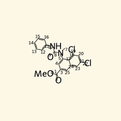 COC(=O)c1cc(N(C)C(=O)Nc2ccccc2)c2c(Cl)cc(Cl)cc2c1